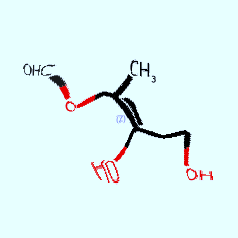 C/C(OC=O)=C(/O)CO